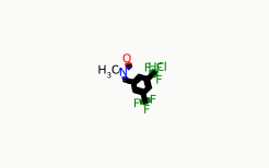 CN(C=O)Cc1cc(C(F)(F)F)cc(C(F)(F)F)c1.Cl